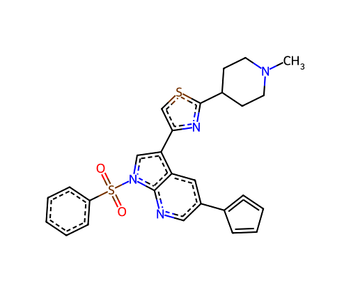 CN1CCC(c2nc(-c3cn(S(=O)(=O)c4ccccc4)c4ncc(C5=C=CC=C5)cc34)cs2)CC1